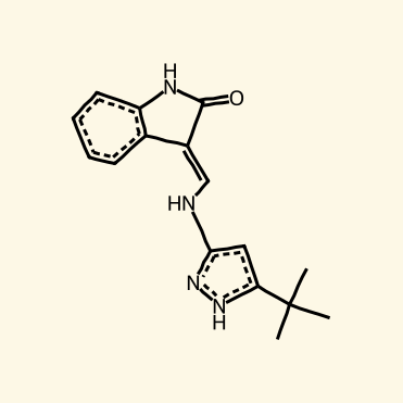 CC(C)(C)c1cc(N/C=C2/C(=O)Nc3ccccc32)n[nH]1